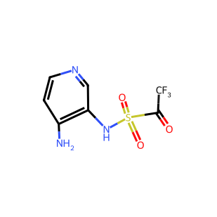 Nc1ccncc1NS(=O)(=O)C(=O)C(F)(F)F